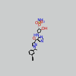 C#Cc1cccc(C(C)n2ccc(C(=O)c3cncnc3NC3C[C@H](COS(N)(=O)=O)[C@@H](O)C3)n2)c1